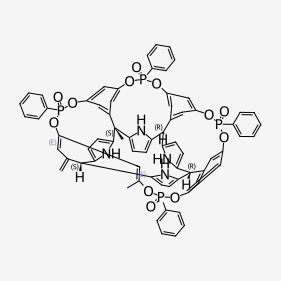 C=C1/C=C2\C=C(/C)OP(=O)(c3ccccc3)Oc3cc4cc(c3)[C@@H]3c5ccc([nH]5)[C@H]1c1ccc([nH]1)[C@]1(C)c5cc(cc(c5)OP(=O)(c5ccccc5)Oc5cc(cc(c5)[C@H](c5ccc3[nH]5)c3ccc1[nH]3)OP(=O)(c1ccccc1)O4)OP(=O)(c1ccccc1)O2